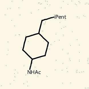 CCCC(C)CC1CCC(NC(C)=O)CC1